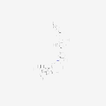 CO[C@H](C(C)OC(C)(C)C[C@H](C)CC/C=C(\C)[C@H]1O[C@@H](CC(=O)N[C@@H](CCOC(=O)N2CCN(I)CC2)C(=O)O)CC[C@@H]1C)[C@@H](C)O